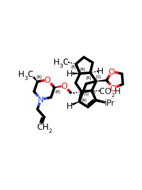 C=CCN1C[C@H](OC[C@@]23C[C@@H]4[C@H](C)CC[C@H]4[C@@]4(C5OCCO5)C[C@@H]2C=C(C(C)C)[C@@]34C(=O)O)O[C@H](C)C1